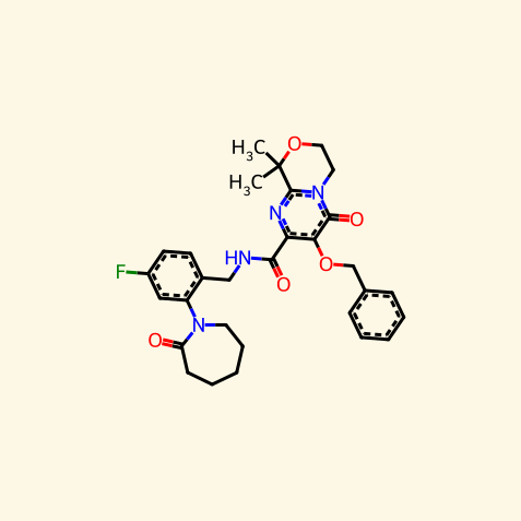 CC1(C)OCCn2c1nc(C(=O)NCc1ccc(F)cc1N1CCCCCC1=O)c(OCc1ccccc1)c2=O